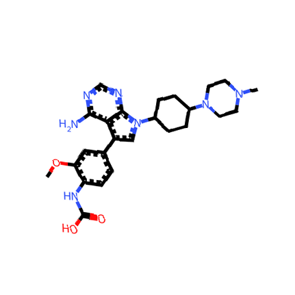 COc1cc(-c2cn(C3CCC(N4CCN(C)CC4)CC3)c3ncnc(N)c23)ccc1NC(=O)O